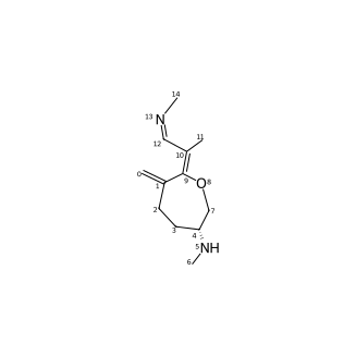 C=C1CC[C@@H](NC)CO/C1=C(C)/C=N\C